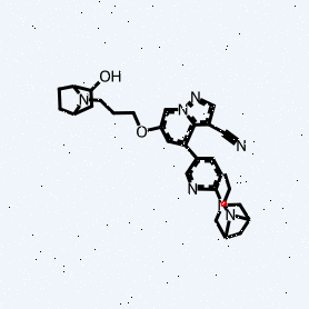 CCCN1C2CC1CN(c1ccc(-c3cc(OCCCN4C5CCC4C(O)C5)cn4ncc(C#N)c34)cn1)C2